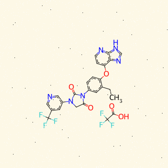 CCc1cc(N2C(=O)CN(c3cncc(C(F)(F)F)c3)C2=O)ccc1Oc1ccnc2[nH]cnc12.O=C(O)C(F)(F)F